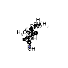 CC[C@H](C)[C@@H](C(=O)N[C@@H](Cc1ccccc1)[C@H](O)CN(CC1CCC1)S(=O)(=O)c1ccc(/C=N/O)cc1)N1CC(=O)N(Cc2csc(NC(C)=O)n2)C1=O